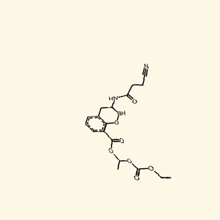 CCOC(=O)OC(C)OC(=O)c1cccc2c1OBC(NC(=O)CCC#N)C2